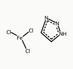 [Cl][Fe]([Cl])[Cl].c1c[nH]nn1